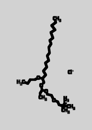 CCCCCCCCCCCCCCCCC(COC(CC)OCCOCC[N+](C)(C)C)OCCCC.[Cl-]